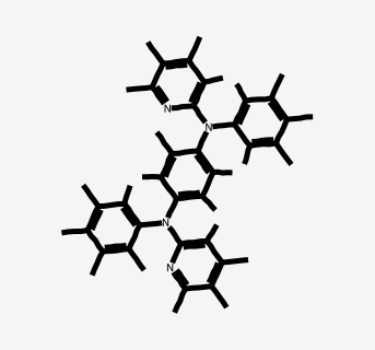 Cc1nc(N(c2c(C)c(C)c(C)c(C)c2C)c2c(C)c(C)c(N(c3nc(C)c(C)c(C)c3C)c3c(C)c(C)c(C)c(C)c3C)c(C)c2C)c(C)c(C)c1C